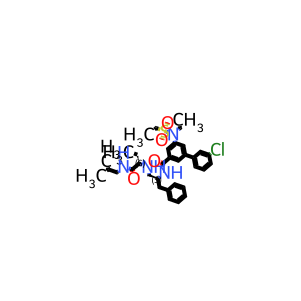 CC[C@H](NC[C@H](Cc1ccccc1)NC(=O)c1cc(-c2cccc(Cl)c2)cc(N(CC)S(=O)(=O)CC)c1)C(=O)NCC(C)C